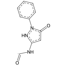 O=[C]Nc1cc(=O)n(-c2ccccc2)[nH]1